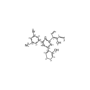 C=C/C(=C(O)\C=C/C)c1nc(C2=CCCC=C2O)nc(-c2cc(Br)cc(C#N)c2)n1